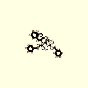 N=C(NC(=O)OCc1ccccc1)N(C(=O)OCc1ccccc1)C(Cc1ccccc1)C(=O)O